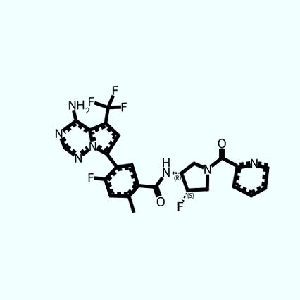 Cc1cc(F)c(-c2cc(C(F)(F)F)c3c(N)ncnn23)cc1C(=O)N[C@@H]1CN(C(=O)c2ccccn2)C[C@@H]1F